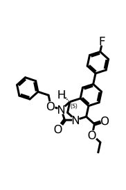 CCOC(=O)C1c2ccc(-c3ccc(F)cc3)cc2[C@H]2CN1C(=O)N2OCc1ccccc1